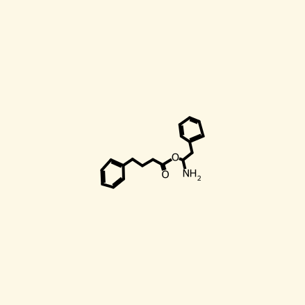 NC(Cc1ccccc1)OC(=O)CCCc1ccccc1